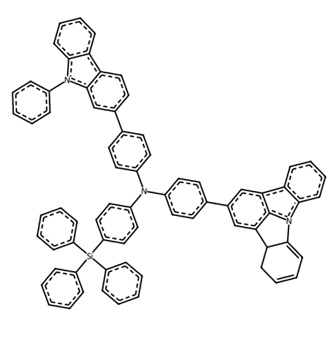 C1=CCC2C(=C1)n1c3ccccc3c3cc(-c4ccc(N(c5ccc(-c6ccc7c8ccccc8n(-c8ccccc8)c7c6)cc5)c5ccc([Si](c6ccccc6)(c6ccccc6)c6ccccc6)cc5)cc4)cc2c31